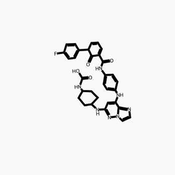 O=C(O)NC1CCC(Nc2cc(Nc3ccc(NC(=O)C4=CC=CC(c5ccc(F)cc5)C4=O)cc3)c3nccn3n2)CC1